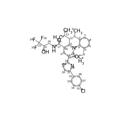 CCc1cccc(CC)c1-n1c(CC(C)C)c(C(=O)NCC(O)C(F)(F)F)cc(-c2nc(-c3ccc(Cl)cc3)cs2)c1=O